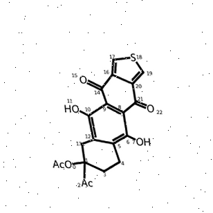 CC(=O)OC1(C(C)=O)CCc2c(O)c3c(c(O)c2C1)C(=O)c1cscc1C3=O